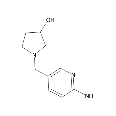 [NH]c1ccc(CN2CCC(O)C2)cn1